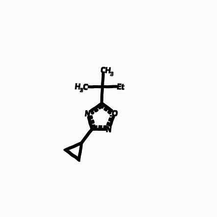 CCC(C)(C)c1nc(C2CC2)no1